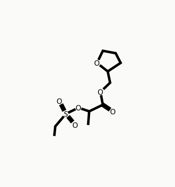 CCS(=O)(=O)OC(C)C(=O)OCC1CCCO1